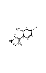 Fc1cc(I)ccc1-c1nnn[nH]1